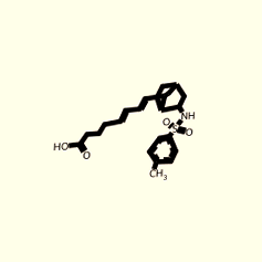 Cc1ccc(S(=O)(=O)NC2CC3CCC2C(/C=C/C=C/CCCC(=O)O)C3)cc1